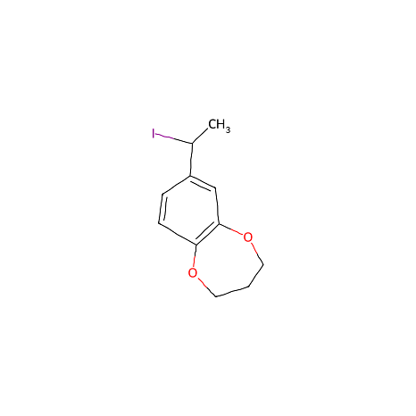 CC(I)c1ccc2c(c1)OCCCO2